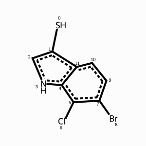 Sc1c[nH]c2c(Cl)c(Br)ccc12